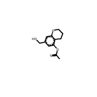 CC(=O)Oc1cc(CO)cc2c1CCCO2